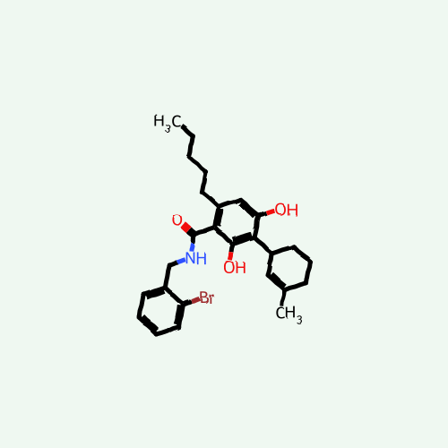 CCCCCc1cc(O)c(C2C=C(C)CCC2)c(O)c1C(=O)NCc1ccccc1Br